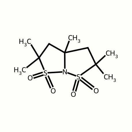 CC12CC(C)(C)S(=O)(=O)N1S(=O)(=O)C(C)(C)C2